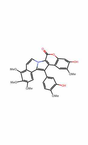 COc1ccc(-c2c3c4cc(OC)c(O)cc4oc(=O)c3n3ccc4c(OC)c(OC)c(OC)cc4c23)cc1O